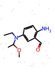 CCN(c1ccc(N)c(C=O)c1)C(C)OC